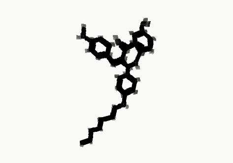 CCCCCCCOc1ccc(C2Oc3ccc(O)cc3C(=O)C2=Cc2ccc(OC)cc2)cc1